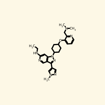 CCNc1cc2c(cn1)c(-c1cnn(C)c1)nn2C1CCC(Oc2cccnc2CN(C)C)CC1